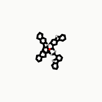 c1ccc2cc(-c3nc(-c4cc5c(cc4-n4c6ccccc6c6cc7ccccc7cc64)oc4ccccc45)nc(-c4cccc5c4sc4ccccc45)n3)ccc2c1